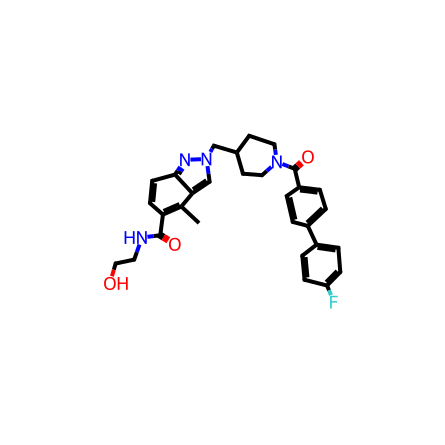 Cc1c(C(=O)NCCO)ccc2nn(CC3CCN(C(=O)c4ccc(-c5ccc(F)cc5)cc4)CC3)cc12